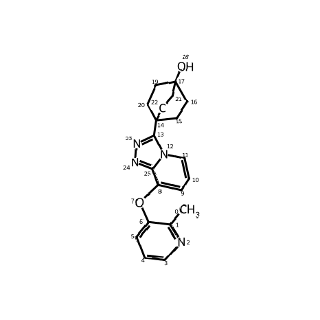 Cc1ncccc1Oc1cccn2c(C34CCC(O)(CC3)CC4)nnc12